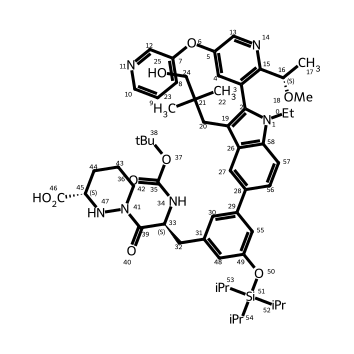 CCn1c(-c2cc(Oc3cccnc3)cnc2[C@H](C)OC)c(CC(C)(C)CO)c2cc(-c3cc(C[C@H](NC(=O)OC(C)(C)C)C(=O)N4CCC[C@@H](C(=O)O)N4)cc(O[Si](C(C)C)(C(C)C)C(C)C)c3)ccc21